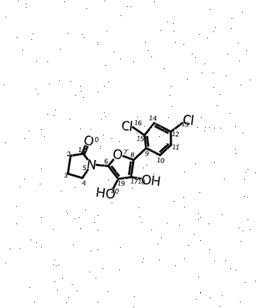 O=C1CCCN1c1oc(-c2ccc(Cl)cc2Cl)c(O)c1O